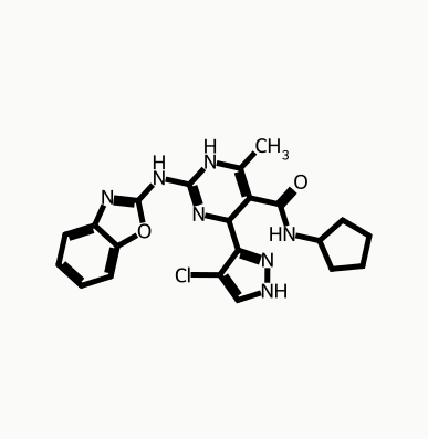 CC1=C(C(=O)NC2CCCC2)C(c2n[nH]cc2Cl)N=C(Nc2nc3ccccc3o2)N1